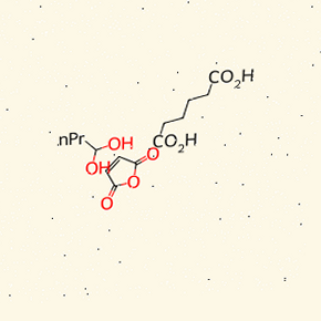 CCCC(O)O.O=C(O)CCCCC(=O)O.O=C1C=CC(=O)O1